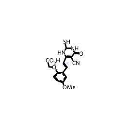 COc1ccc(OCC(=O)O)c(/C=C/C2=C(C#N)C(=O)NC(S)N2)c1